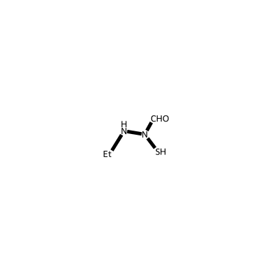 CCNN(S)C=O